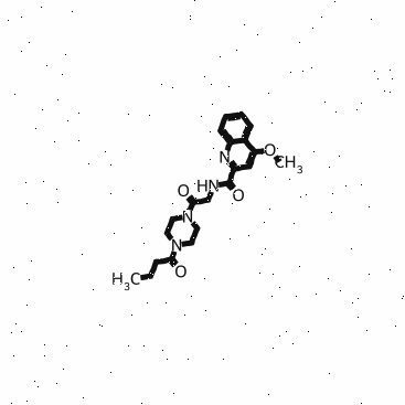 CCCC(=O)N1CCN(C(=O)CNC(=O)c2cc(OC)c3ccccc3n2)CC1